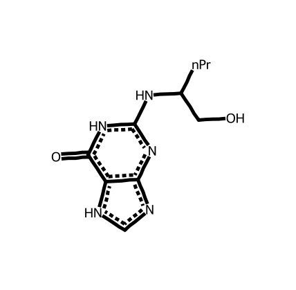 CCCC(CO)Nc1nc2nc[nH]c2c(=O)[nH]1